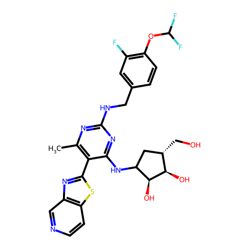 Cc1nc(NCc2ccc(OC(F)F)c(F)c2)nc(NC2C[C@H](CO)[C@@H](O)[C@H]2O)c1-c1nc2cnccc2s1